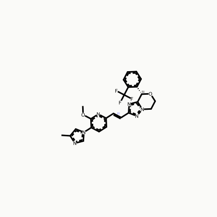 COc1nc(/C=C/c2nc3n(n2)CCO[C@H]3c2ccccc2C(F)(F)F)ccc1-n1cnc(C)c1